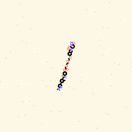 Cc1cc(-c2ccc(N(C)C)nc2)ccc1-c1nc2ccc(OC(=O)COCCOCCOc3ccc4c(c3)CN(C3CCC(=O)NC3=O)C4=O)cc2s1